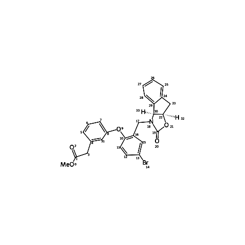 COC(=O)Cc1cccc(Oc2ccc(Br)cc2CN2C(=O)O[C@@H]3Cc4ccccc4[C@@H]32)c1